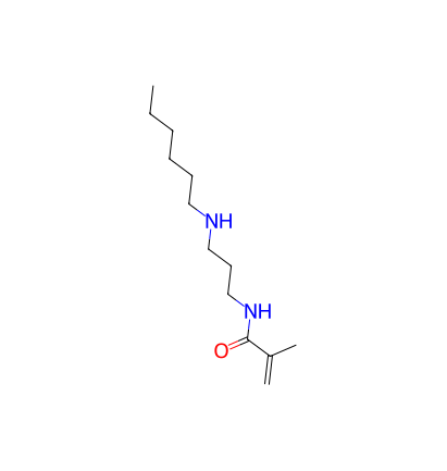 C=C(C)C(=O)NCCCNCCCCCC